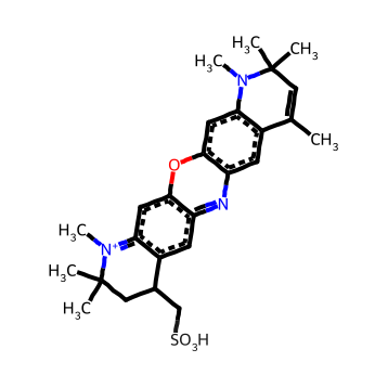 CC1=CC(C)(C)N(C)c2cc3c(cc21)N=c1cc2c(cc1O3)=[N+](C)C(C)(C)CC2CS(=O)(=O)O